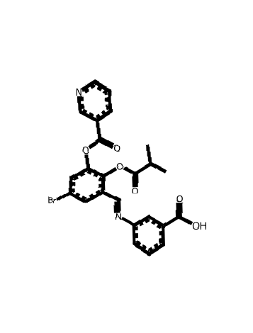 CC(C)C(=O)Oc1c(C=Nc2cccc(C(=O)O)c2)cc(Br)cc1OC(=O)c1cccnc1